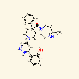 O=C(N1CCNC(C(F)(F)F)CC1)C1(c2ccccc2)CCN(c2cnnc(-c3ccccc3O)c2)CC1